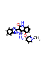 CN1CCCC(Oc2cccc3[nH]c(=O)c(-c4nc5ccccc5[nH]4)c(N)c23)C1